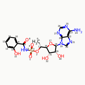 C[C@@H](OS(=O)(=O)NC(=O)c1ccccc1O)[C@H]1O[C@@H](n2cnc3c(N)ncnc32)[C@H](O)[C@@H]1O